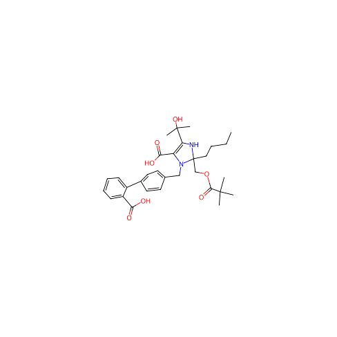 CCCCC1(COC(=O)C(C)(C)C)NC(C(C)(C)O)=C(C(=O)O)N1Cc1ccc(-c2ccccc2C(=O)O)cc1